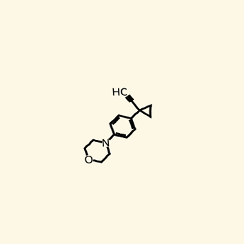 C#CC1(c2ccc(N3CCOCC3)cc2)CC1